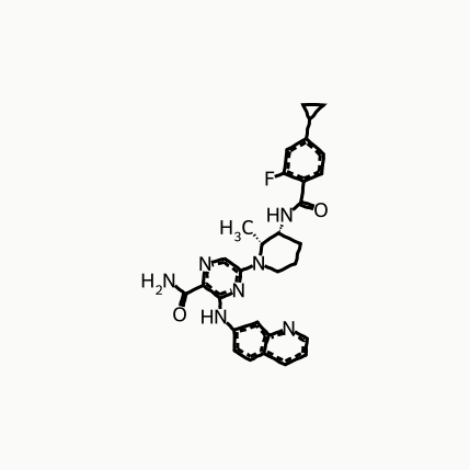 C[C@@H]1[C@H](NC(=O)c2ccc(C3CC3)cc2F)CCCN1c1cnc(C(N)=O)c(Nc2ccc3cccnc3c2)n1